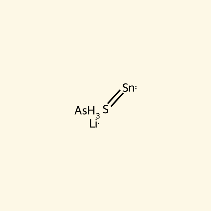 [AsH3].[Li].[S]=[Sn]